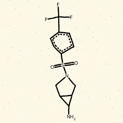 NC1C2CN(S(=O)(=O)c3ccc(C(F)(F)F)cc3)CC12